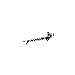 C=CCCCCCCCCCCCCCCCCC(=O)C1CCCNC(=O)C1